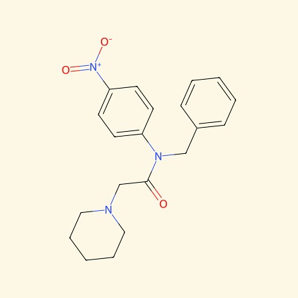 O=C(CN1CCCCC1)N(Cc1ccccc1)c1ccc([N+](=O)[O-])cc1